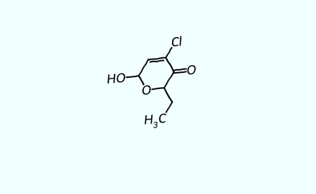 CCC1OC(O)C=C(Cl)C1=O